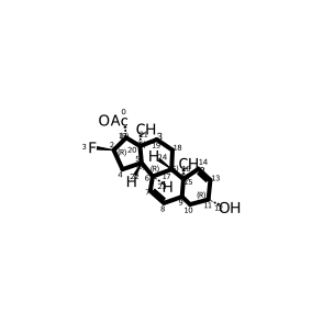 CC(=O)O[C@H]1[C@H](F)C[C@H]2[C@@H]3C=CC4C[C@@H](O)C=C[C@]4(C)[C@H]3CC[C@@]21C